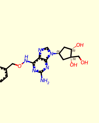 Nc1nc(NOCc2ccccc2)c2ncn([C@H]3C[C@H](O)[C@@](O)(CO)C3)c2n1